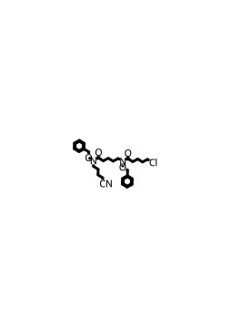 N#CCCCCN(OCc1ccccc1)C(=O)CCCCN(OCc1ccccc1)C(=O)CCCCCl